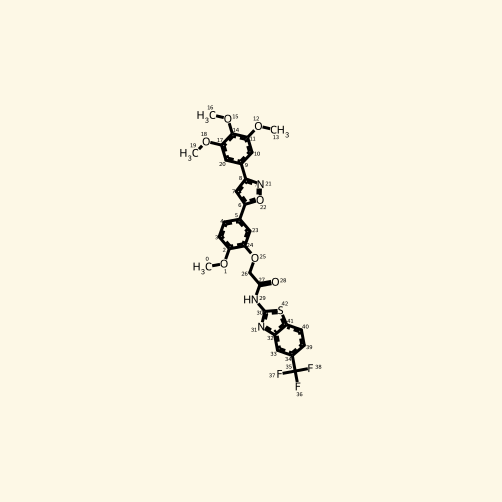 COc1ccc(-c2cc(-c3cc(OC)c(OC)c(OC)c3)no2)cc1OCC(=O)Nc1nc2cc(C(F)(F)F)ccc2s1